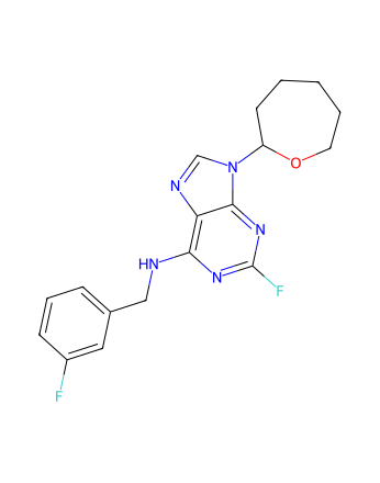 Fc1cccc(CNc2nc(F)nc3c2ncn3C2CCCCCO2)c1